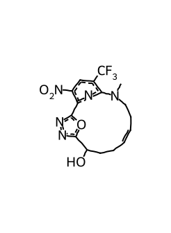 CN1CCC=CCCC(O)c2nnc(o2)-c2nc1c(C(F)(F)F)cc2[N+](=O)[O-]